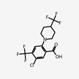 O=C(O)c1cc(Cl)c(C(F)(F)F)cc1N1CCC(C(F)(F)F)CC1